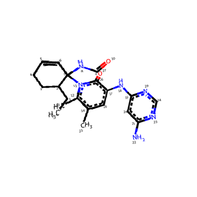 CCC1CCC=CC1(NC=O)n1c(C)c(C)cc(Nc2cc(N)ncn2)c1=O